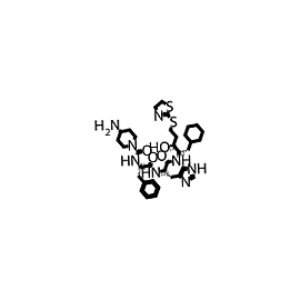 NC1CCN(C(=O)N[C@@H](Cc2ccccc2)C(=O)N[C@@H](Cc2c[nH]cn2)C(=O)N[C@@H](CC2CCCCC2)[C@@H](O)CCSC2=NCCS2)CC1